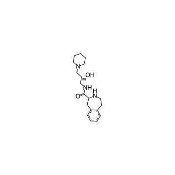 O=C(NC[C@@H](O)CN1CCCCC1)C1Cc2ccccc2CCN1